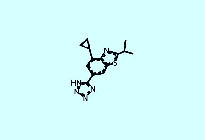 CC(C)c1nc2c(C3CC3)cc(-c3nnn[nH]3)cc2s1